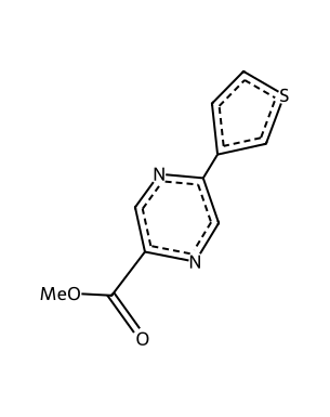 COC(=O)c1cnc(-c2ccsc2)cn1